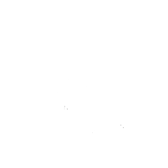 [c]1nc(-c2cnco2)oc1-c1ccccc1